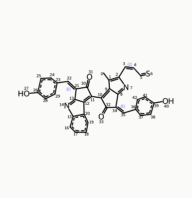 CC1=C(/C=C\C=S)N=C2C1=C(C1=C3C(=Nc4ccccc43)/C(=C\c3ccc(O)cc3)C1=O)C(=O)/C2=C/c1ccc(O)cc1